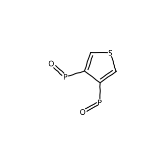 O=Pc1cscc1P=O